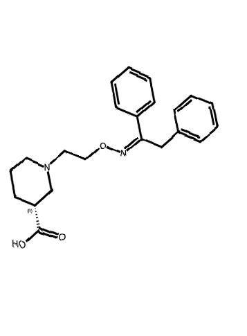 O=C(O)[C@@H]1CCCN(CCON=C(Cc2ccccc2)c2ccccc2)C1